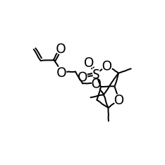 C=CC(=O)OCCOC1(C)C2(C)CC3C(O2)C1(C)OS3(=O)=O